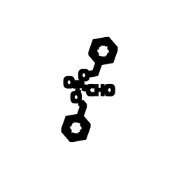 O=CP(=O)(OCc1ccccc1)OCc1ccccc1